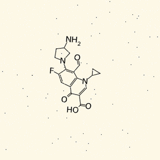 NC1CCN(c2c(F)cc3c(=O)c(C(=O)O)cn(C4CC4)c3c2C=O)C1